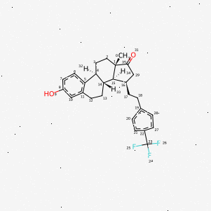 C[C@]12CC[C@@H]3c4ccc(O)cc4CC[C@H]3[C@@H]1[C@H](CCc1ccc(C(F)(F)F)cc1)CC2=O